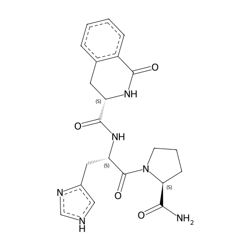 NC(=O)[C@@H]1CCCN1C(=O)[C@H](Cc1c[nH]cn1)NC(=O)[C@@H]1Cc2ccccc2C(=O)N1